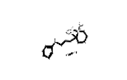 CCO.COC1(CCCNc2ccccc2)CCCC[Si]1(OC)OC